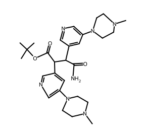 CN1CCN(c2cncc(C(C(N)=O)C(C(=O)OC(C)(C)C)c3cncc(N4CCN(C)CC4)c3)c2)CC1